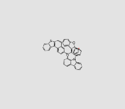 c1ccc(-n2c3ccccc3c3cccc(N(c4ccc5c(ccc6sc7ccccc7c65)c4)c4cccc5oc6ccccc6c45)c32)cc1